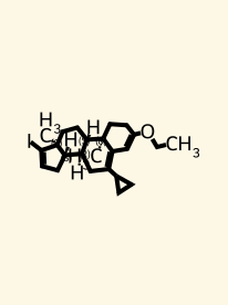 CCOC1=CC2=C(C3CC3)C[C@@H]3[C@H](CC[C@]4(C)C(I)=CC[C@@H]34)[C@@]2(C)CC1